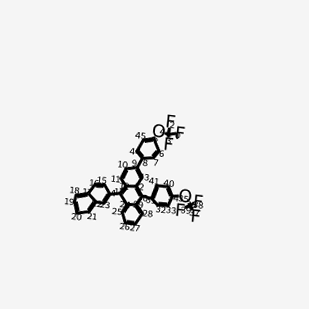 FC(F)(F)Oc1ccc(-c2ccc3c(-c4ccc5ccccc5c4)c4ccccc4c(-c4ccc(OC(F)(F)F)cc4)c3c2)cc1